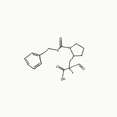 CC(C=O)(CC1CCCN1C(=O)OCc1ccccc1)C(=O)O